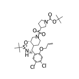 C=CCOc1cc(Cl)c(Cl)cc1[C@H](N[S+]([O-])C(C)(C)C)C1CCN(S(=O)(=O)C2CCN(C(=O)OC(C)(C)C)C2)CC1